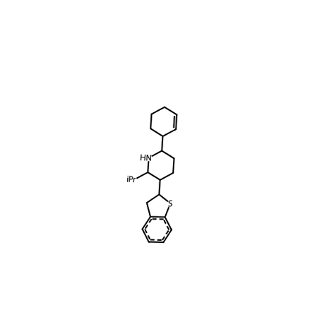 CC(C)C1NC(C2C=CCCC2)CCC1C1Cc2ccccc2S1